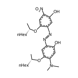 CCCCCC[C@H](C)Oc1cc([N+](=O)[O-])c(O)cc1N=Nc1cc(O[C@@H](C)CCCCCC)c(N(C)C)cc1O